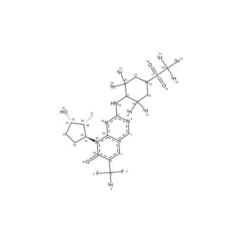 [2H]C(F)(F)c1cc2cnc(NC3C([2H])([2H])CN(S(=O)(=O)C([2H])([2H])[2H])CC3([2H])[2H])nc2n([C@H]2CC[C@H](O)[C@@H]2C)c1=O